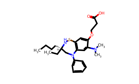 CCCC[C@@]1(CC)CN(c2ccccc2)c2cc(N(C)C)c(OCCC(=O)O)cc2SN1